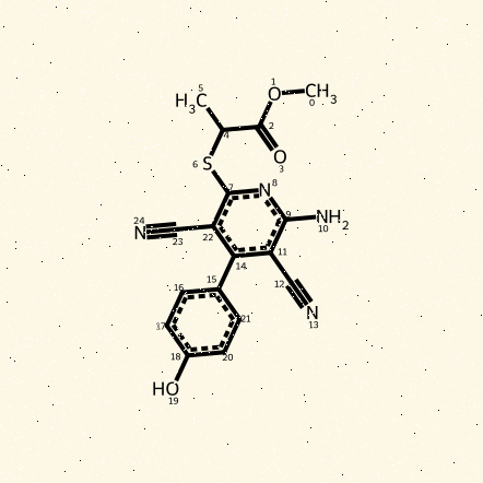 COC(=O)C(C)Sc1nc(N)c(C#N)c(-c2ccc(O)cc2)c1C#N